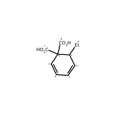 CCC1C=CC=CC1(C(=O)O)C(=O)O